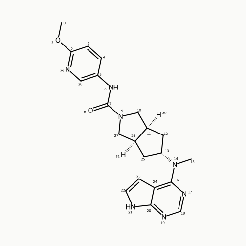 COc1ccc(NC(=O)N2C[C@H]3C[C@H](N(C)c4ncnc5[nH]ccc45)C[C@H]3C2)cn1